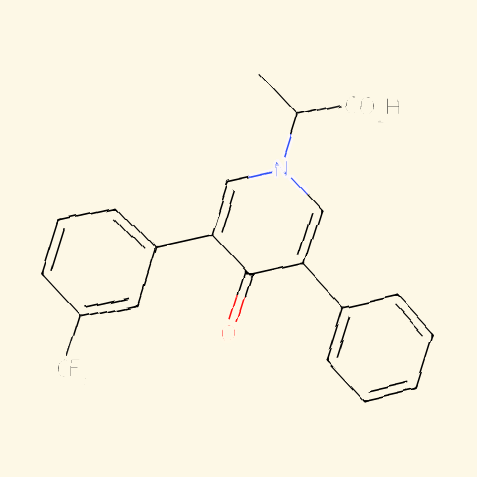 CC(C(=O)O)n1cc(-c2ccccc2)c(=O)c(-c2cccc(C(F)(F)F)c2)c1